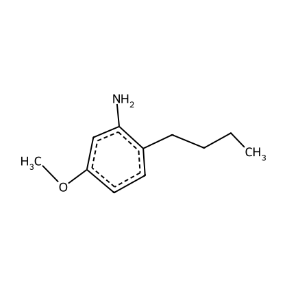 CCCCc1ccc(OC)cc1N